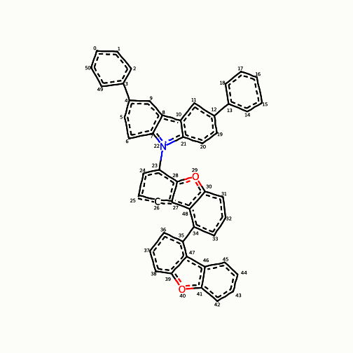 c1ccc(-c2ccc3c(c2)c2cc(-c4ccccc4)ccc2n3-c2cccc3c2oc2cccc(-c4cccc5oc6ccccc6c45)c23)cc1